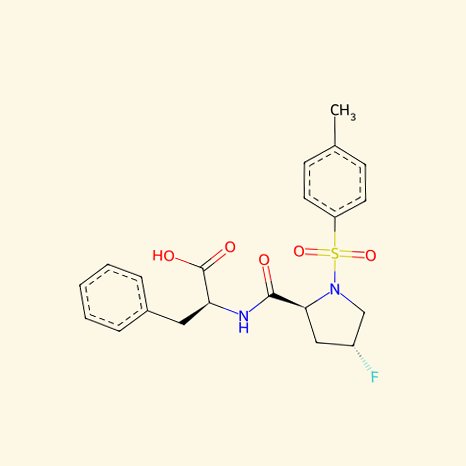 Cc1ccc(S(=O)(=O)N2C[C@H](F)C[C@H]2C(=O)N[C@@H](Cc2ccccc2)C(=O)O)cc1